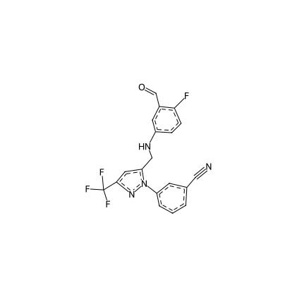 N#Cc1cccc(-n2nc(C(F)(F)F)cc2CNc2ccc(F)c(C=O)c2)c1